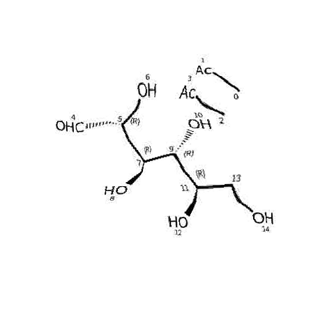 CC(C)=O.CC(C)=O.O=C[C@H](O)[C@H](O)[C@H](O)[C@H](O)CO